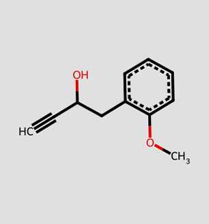 C#CC(O)Cc1ccccc1OC